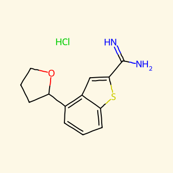 Cl.N=C(N)c1cc2c(C3CCCO3)cccc2s1